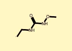 [CH2]CNC(=O)NOC